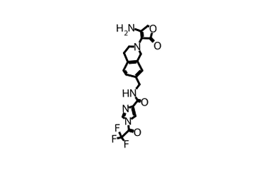 NC1=C(N2CCc3ccc(CNC(=O)c4cn(C(=O)C(F)(F)F)cn4)cc3C2)C(=O)OC1